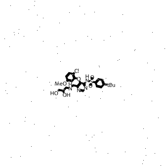 COc1ccc(Cl)c(Oc2c(CNCC(O)CO)ncnc2NS(=O)(=O)c2ccc(C(C)(C)C)cc2)c1